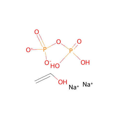 C=CO.O=P([O-])([O-])OP(=O)(O)O.[Na+].[Na+]